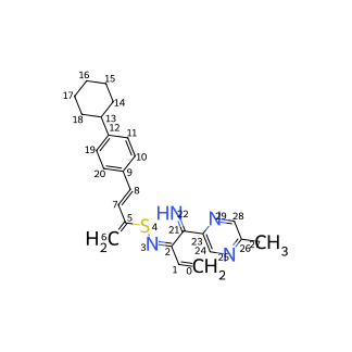 C=CC(=NSC(=C)/C=C/c1ccc(C2CCCCC2)cc1)C(=N)c1cnc(C)cn1